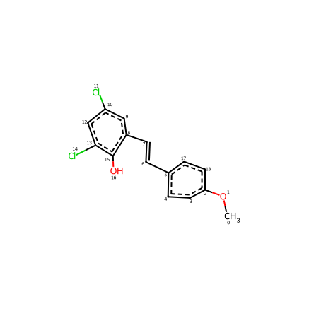 COc1ccc(C=Cc2cc(Cl)cc(Cl)c2O)cc1